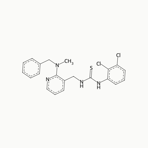 CN(Cc1ccccc1)c1ncccc1CNC(=S)Nc1cccc(Cl)c1Cl